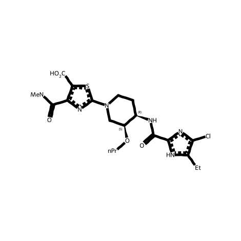 CCCO[C@H]1CN(c2nc(C(=O)NC)c(C(=O)O)s2)CC[C@H]1NC(=O)c1nc(Cl)c(CC)[nH]1